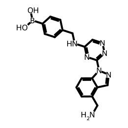 NCc1cccc2c1cnn2-c1nncc(NCc2ccc(B(O)O)cc2)n1